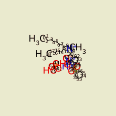 CCCCCCCCCC[N+](C)(CCCCCCC)CCc1cccc(NS(=O)(=O)C2CCCCCC2)c1[N+](=O)[O-].O=P([O-])(O)O